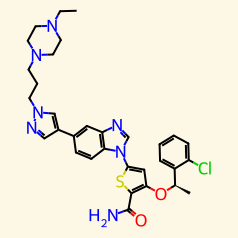 CCN1CCN(CCCn2cc(-c3ccc4c(c3)ncn4-c3cc(O[C@H](C)c4ccccc4Cl)c(C(N)=O)s3)cn2)CC1